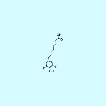 O=C(O)CCCCCCCc1cc(F)c(O)c(F)c1